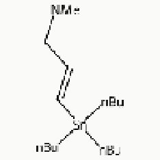 CCC[CH2][Sn](/[CH]=C/CNC)([CH2]CCC)[CH2]CCC